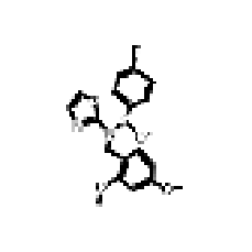 COc1ccc(CN(c2nccs2)[S+]([O-])c2ccc(F)cc2)c(OC)c1